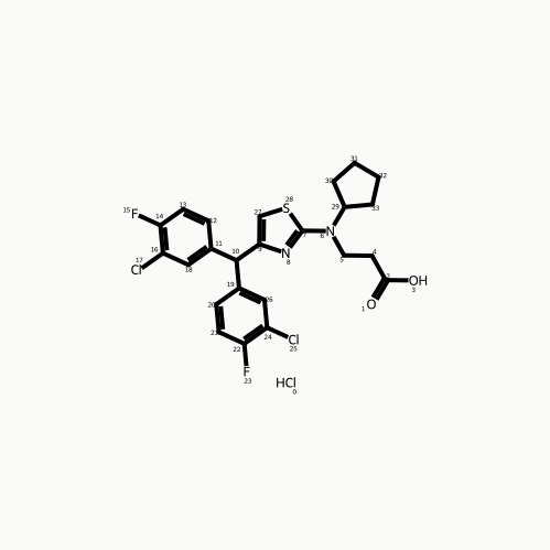 Cl.O=C(O)CCN(c1nc(C(c2ccc(F)c(Cl)c2)c2ccc(F)c(Cl)c2)cs1)C1CCCC1